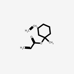 C=C.C=CC(=O)OC1(C)CCCCC1